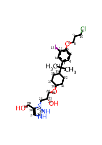 CC(C)(c1ccc(OCCCCl)c(I)c1)C1CCC(OC[C@H](O)CN2NNC=C2CO)CC1